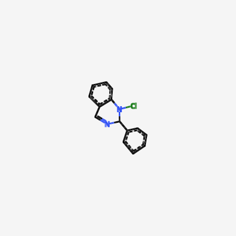 ClN1c2ccccc2C=NC1c1ccccc1